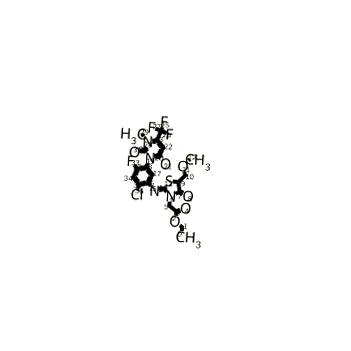 CCOC(=O)CN1C(=O)C(COC)S/C1=N\c1cc(-n2c(=O)cc(C(F)(F)F)n(C)c2=O)c(F)cc1Cl